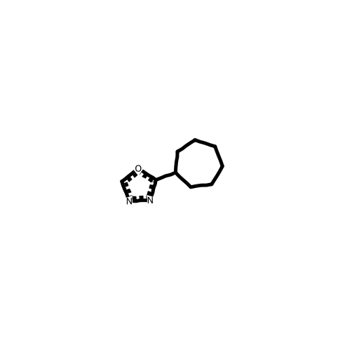 c1nnc(C2CCCCCC2)o1